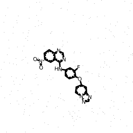 O=[N+]([O-])c1ccc2ncnc(Nc3ccc(Oc4ccn5ncnc5c4)c(F)c3)c2c1